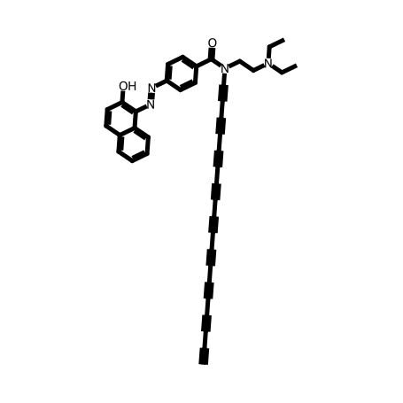 C#CC#CC#CC#CC#CC#CC#CC#CC#CN(CCN(CC)CC)C(=O)c1ccc(N=Nc2c(O)ccc3ccccc23)cc1